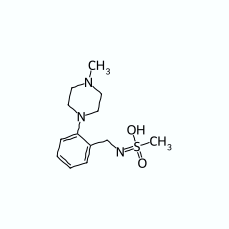 CN1CCN(c2ccccc2CN=S(C)(=O)O)CC1